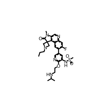 CCCN1CC2(C1)C(=O)N(C)c1cnc3cc(F)c(-c4cnc(OCCNC(C)C)c(NS(C)(=O)=O)c4)cc3c12